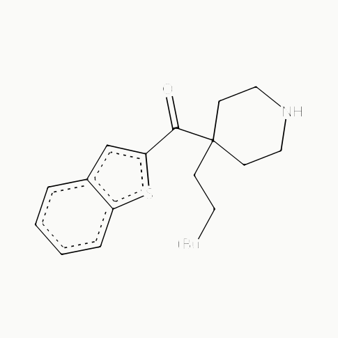 CC(C)(C)CCC1(C(=O)c2cc3ccccc3s2)CCNCC1